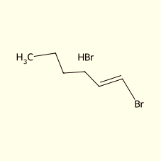 Br.CCCCC=CBr